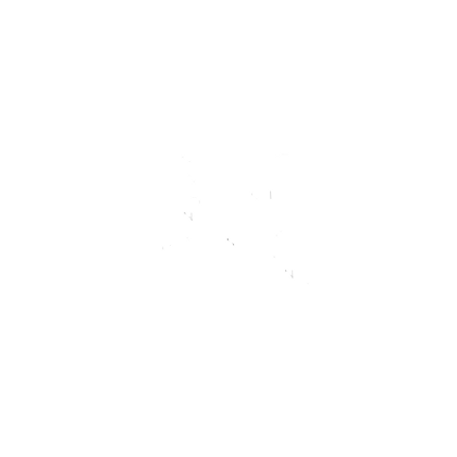 Cc1cc2n(c1C(N)=O)CCN(CC1(S(=O)(=O)C(C)(C)C(O)CO)CC1)C2=O